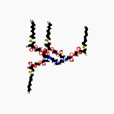 CCCCCCCCSCC(C)C(=O)OCCOC(=O)CCN(CCCN(C)CCCN(CCC(=O)OCCOC(=O)C(C)CSCCCCCCCC)CCC(=O)OCCOC(=O)C(C)CSCCCCCCCC)CCC(=O)OCCOC(=O)C(C)CSCCCCCCCC